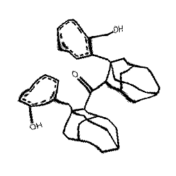 O=C(C1C2CC3CC(C2)CC1(c1ccccc1O)C3)C1C2CC3CC(C2)CC1(c1ccccc1O)C3